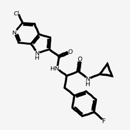 O=C(NC(Cc1ccc(F)cc1)C(=O)NC1CC1)c1cc2cc(Cl)ncc2[nH]1